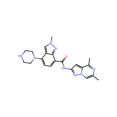 Cc1cn2nc(NC(=O)c3ccc(N4CCNCC4)c4cn(C)nc34)cc2c(C)n1